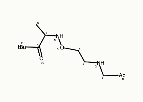 CC(=O)CNCCONC(C)C(=O)C(C)(C)C